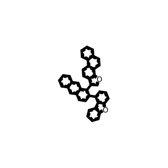 c1ccc2cc3c(-c4coc5c4ccc4c6ccccc6ccc45)c(-c4cccc5oc6ccccc6c45)ccc3cc2c1